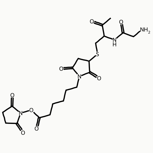 CC(=O)C(CSC1CC(=O)N(CCCCCC(=O)ON2C(=O)CCC2=O)C1=O)NC(=O)CN